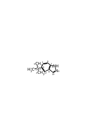 [CH3][Sn]([CH3])([CH3])[c]1ccc2[nH]ncc2c1